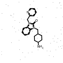 NC1CCC(Cn2c(=O)n(Cc3ccccn3)c3ccccc32)CC1